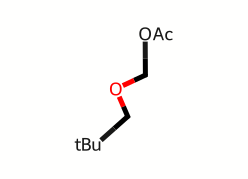 CC(=O)OCOCC(C)(C)C